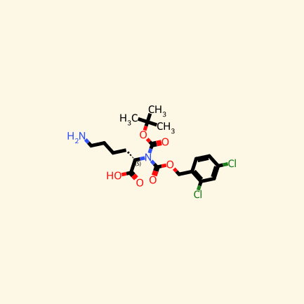 CC(C)(C)OC(=O)N(C(=O)OCc1ccc(Cl)cc1Cl)[C@@H](CCCCN)C(=O)O